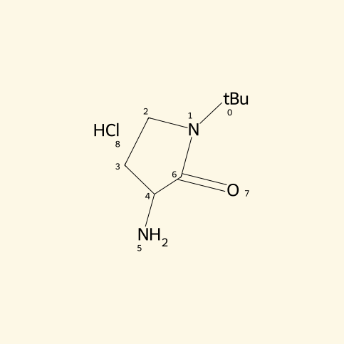 CC(C)(C)N1CCC(N)C1=O.Cl